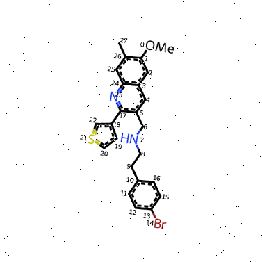 COc1cc2cc(CNCCc3ccc(Br)cc3)c(-c3ccsc3)nc2cc1C